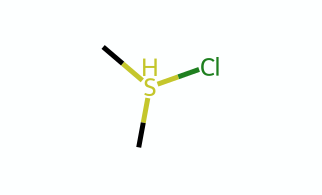 C[SH](C)Cl